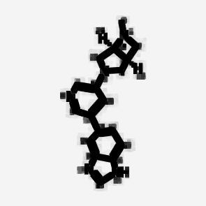 CN1C[C@H]2CN(c3cncc(-c4ccc5[nH]cnc5c4)c3)C[C@H]21